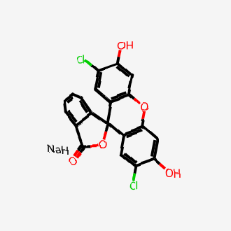 O=C1OC2(c3cc(Cl)c(O)cc3Oc3cc(O)c(Cl)cc32)c2ccccc21.[NaH]